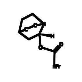 CCCC(=O)O[C@@H]1CC2CCN1CC2